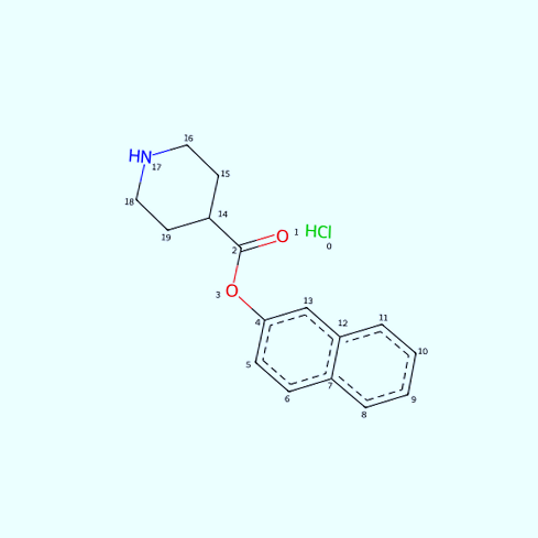 Cl.O=C(Oc1ccc2ccccc2c1)C1CCNCC1